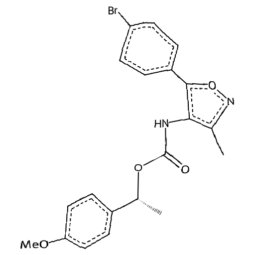 COc1ccc([C@@H](C)OC(=O)Nc2c(C)noc2-c2ccc(Br)cc2)cc1